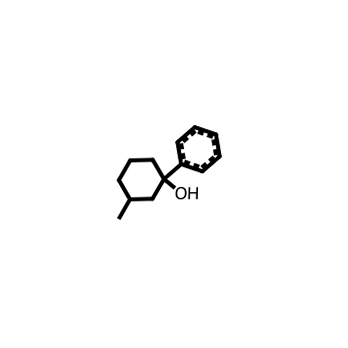 CC1CCCC(O)(c2ccccc2)C1